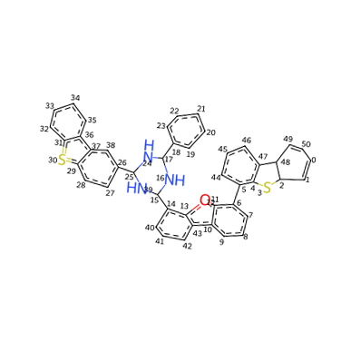 C1=CC2Sc3c(-c4cccc5c4oc4c(C6NC(c7ccccc7)NC(c7ccc8sc9ccccc9c8c7)N6)cccc45)cccc3C2C=C1